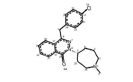 CN1CCC[C@@H](n2nc(Cc3ccc(Cl)cc3)c3ccccc3c2=O)CC1